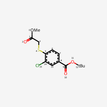 COC(=O)CSc1ccc(C(=O)OC(C)(C)C)cc1Cl